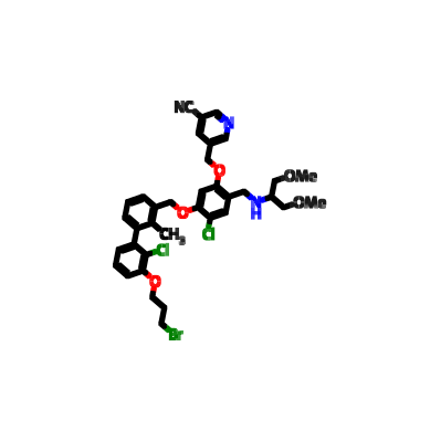 COCC(COC)NCc1cc(Cl)c(OCc2cccc(-c3cccc(OCCCBr)c3Cl)c2C)cc1OCc1cncc(C#N)c1